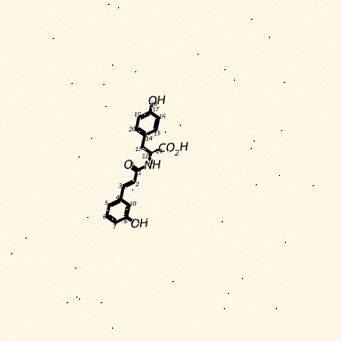 O=C(C=Cc1cccc(O)c1)N[C@@H](Cc1ccc(O)cc1)C(=O)O